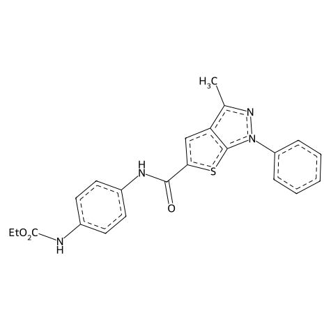 CCOC(=O)Nc1ccc(NC(=O)c2cc3c(C)nn(-c4ccccc4)c3s2)cc1